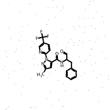 Cc1cc(C(=O)NC(C=O)Cc2ccccc2)n(-c2ccc(C(F)(F)F)cn2)n1